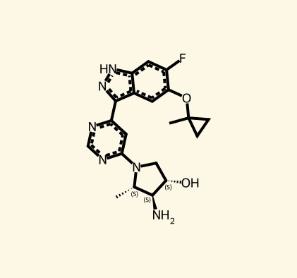 C[C@H]1[C@H](N)[C@@H](O)CN1c1cc(-c2n[nH]c3cc(F)c(OC4(C)CC4)cc23)ncn1